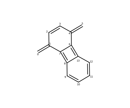 C=c1ccc(=C)c2c1=c1ccccc1=2